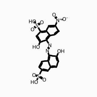 O=[N+]([O-])c1ccc2c(N=Nc3c(O)ccc4cc(S(=O)(=O)O)ccc34)c(O)cc(S(=O)(=O)O)c2c1